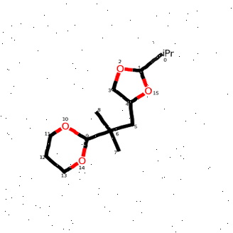 CC(C)C1OCC(CC(C)(C)C2OCCCO2)O1